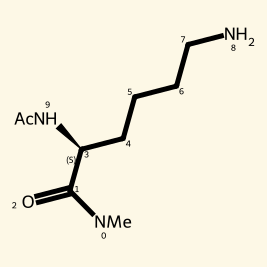 CNC(=O)[C@H](CCCCN)NC(C)=O